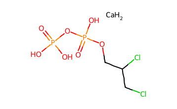 O=P(O)(O)OP(=O)(O)OCC(Cl)CCl.[CaH2]